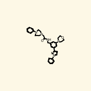 O=C(CN1CCN(c2ccccc2)CC1)NCc1cc(-c2ccn(-c3ccccc3)n2)cc(N2CCOCC2)c1